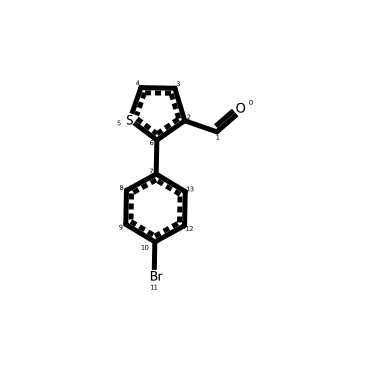 O=Cc1ccsc1-c1ccc(Br)cc1